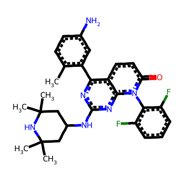 Cc1ccc(N)cc1-c1nc(NC2CC(C)(C)NC(C)(C)C2)nc2c1ccc(=O)n2-c1c(F)cccc1F